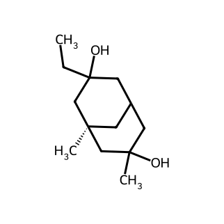 CCC1(O)CC2CC(C)(O)C[C@](C)(C2)C1